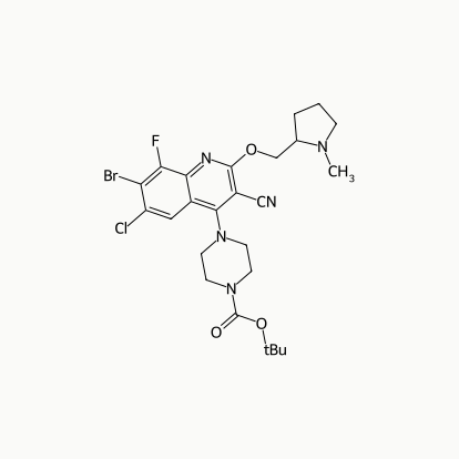 CN1CCCC1COc1nc2c(F)c(Br)c(Cl)cc2c(N2CCN(C(=O)OC(C)(C)C)CC2)c1C#N